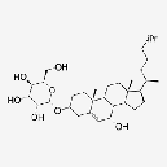 CC(C)CCC[C@@H](C)[C@H]1CCC2C3C(CC[C@@]21C)[C@@]1(C)CCC(O[C@H]2O[C@H](CO)[C@H](O)[C@@H](O)[C@H]2O)CC1=C[C@H]3O